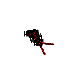 CCCCCCCCCCCCC/C=C/[C@@H](O)[C@H](CO[C@@H]1OC(CO)[C@@H](O[C@@H]2OC(CO)[C@H](O[C@@H]3OC(CO)[C@H](O)[C@H](O[C@@H]4OC(CO[C@@H]5OC(CO)[C@@H](O)[C@H](O)C5NC(C)=O)[C@H](O)[C@H](O)C4NC(C)=O)C3O)[C@H](O)C2O)[C@H](O)C1O)NC(=O)CCCCCCCCCCCCCCCCC